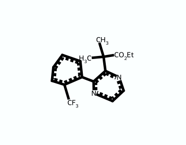 CCOC(=O)C(C)(C)c1nccnc1-c1ccccc1C(F)(F)F